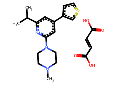 CC(C)c1cc(-c2ccsc2)cc(N2CCN(C)CC2)n1.O=C(O)C=CC(=O)O